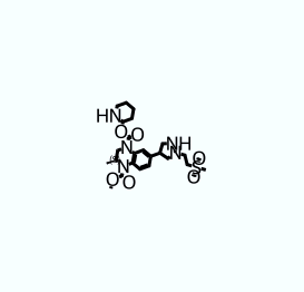 COC(=O)N1c2ccc(C3CNN(CCS(C)(=O)=O)C3)cc2N(C(=O)OC2CCCCN2)C[C@@H]1C